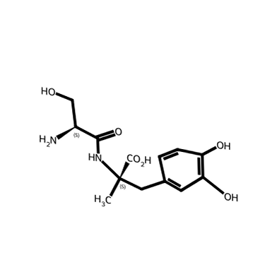 C[C@@](Cc1ccc(O)c(O)c1)(NC(=O)[C@@H](N)CO)C(=O)O